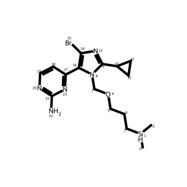 C[SiH](C)CCCOCn1c(C2CC2)nc(Br)c1-c1ccnc(N)n1